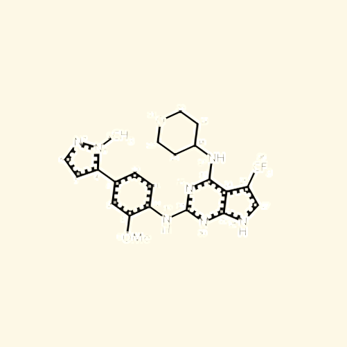 COc1cc(-c2ccnn2C)ccc1Nc1nc(NC2CCOCC2)c2c(C(F)(F)F)c[nH]c2n1